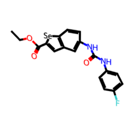 CCOC(=O)c1cc2cc(NC(=O)Nc3ccc(F)cc3)ccc2[se]1